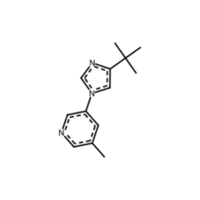 Cc1cncc(-n2cnc(C(C)(C)C)c2)c1